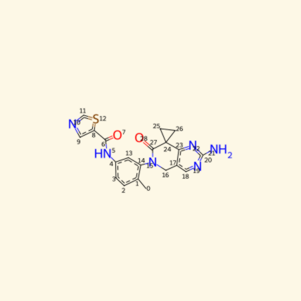 Cc1ccc(NC(=O)c2cncs2)cc1N1Cc2cnc(N)nc2C2(CC2)C1=O